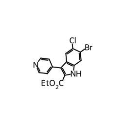 CCOC(=O)c1[nH]c2cc(Br)c(Cl)cc2c1-c1ccncc1